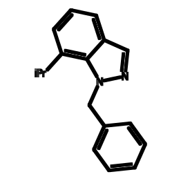 CC(C)c1cccc2cnn(Cc3ccccc3)c12